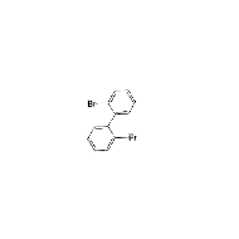 CC(C)c1ccccc1-c1ccccc1Br